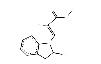 CCCCCCCCOC(=O)C(C#N)=CN1c2ccccc2CC1C